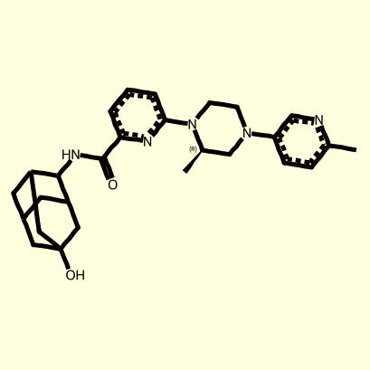 Cc1ccc(N2CCN(c3cccc(C(=O)NC4C5CC6CC4CC(O)(C6)C5)n3)[C@H](C)C2)cn1